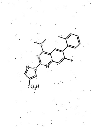 Cc1ccccc1-c1cc2c(N(C)C)nc(-n3cc(C(=O)O)cn3)nc2cc1F